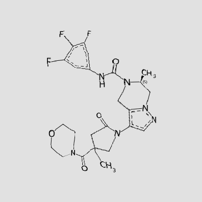 C[C@H]1Cn2ncc(N3CC(C)(C(=O)N4CCOCC4)CC3=O)c2CN1C(=O)Nc1cc(F)c(F)c(F)c1